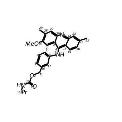 COc1cc2c(Nc3cccc(COC(=O)NC(C)C)c3)c3ccc(C)cc3nc2cc1C